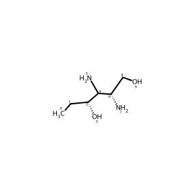 CC[C@@H](O)C(N)[C@@H](N)CO